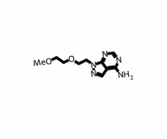 COCCOCCn1ncc2c(N)ncnc21